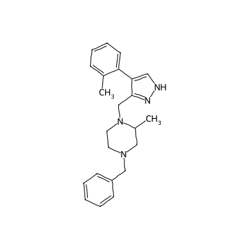 Cc1ccccc1-c1c[nH]nc1CN1CCN(Cc2ccccc2)CC1C